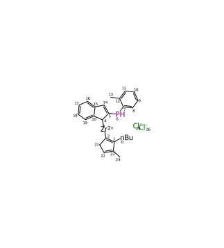 CCCCC1=[C]([Zr+2][CH]2C(Pc3ccccc3C)=Cc3ccccc32)CC=C1C.[Cl-].[Cl-]